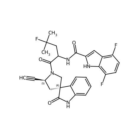 C#C[C@@H]1C[C@@]2(CN1C(=O)C(CC(C)(C)F)NC(=O)c1cc3c(F)ccc(F)c3[nH]1)C(=O)Nc1ccccc12